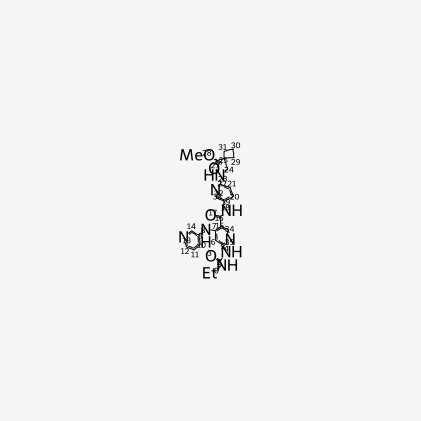 CCNC(=O)Nc1cc(Nc2cccnc2)c(C(=O)Nc2ccc(NCC3(C(=O)OC)CCC3)nc2)cn1